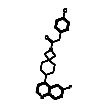 O=C(Cc1ccc(Cl)cc1)N1CC2(CCC(c3ccnc4ccc(F)cc34)CC2)C1